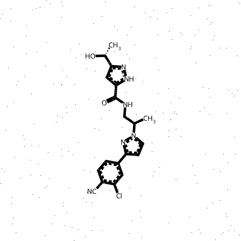 CC(CNC(=O)c1cc([C@@H](C)O)n[nH]1)n1ccc(-c2ccc(C#N)c(Cl)c2)n1